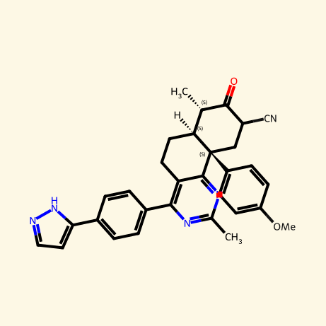 COc1ccc([C@]23CC(C#N)C(=O)[C@@H](C)[C@@H]2CCc2c(-c4ccc(-c5ccn[nH]5)cc4)nc(C)nc23)cc1